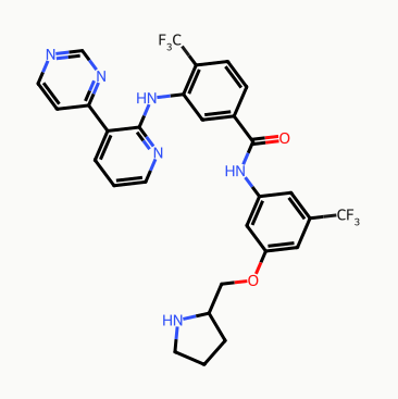 O=C(Nc1cc(OCC2CCCN2)cc(C(F)(F)F)c1)c1ccc(C(F)(F)F)c(Nc2ncccc2-c2ccncn2)c1